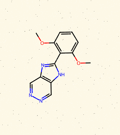 COc1cccc(OC)c1-c1nc2cnncc2[nH]1